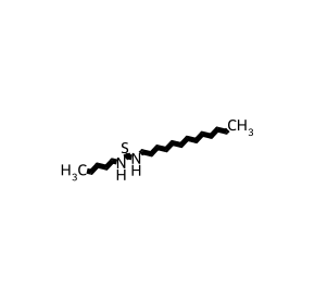 CCCCCCCCCCCCCNC(=S)NCCCCC